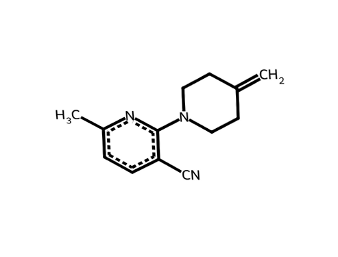 C=C1CCN(c2nc(C)ccc2C#N)CC1